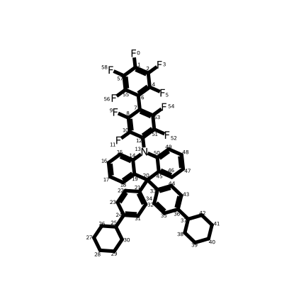 Fc1c(F)c(F)c(-c2c(F)c(F)c(N3c4ccccc4C(c4ccc(C5CCCCC5)cc4)(c4ccc(C5CCCCC5)cc4)c4ccccc43)c(F)c2F)c(F)c1F